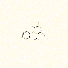 COCC1=C(C(=O)OC(C)C)C(c2ccc(F)cc2)C(C#N)=C(C)N1